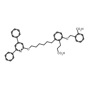 O=C(O)CCc1c(CCCCCCOc2cc(-c3ccccc3)cc(-c3ccccc3)n2)cccc1OCc1ccccc1C(=O)O